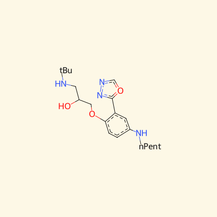 CCCCCNc1ccc(OCC(O)CNC(C)(C)C)c(-c2nnco2)c1